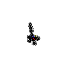 c1ccc(-c2ccc(-c3ccc(-c4ccc(N(c5ccc6c(c5)sc5ccccc56)c5c(-c6cccc(-c7ccccc7)c6)c6ccccc6c6ccccc56)cc4)cc3)cc2)cc1